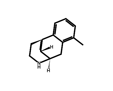 Cc1cccc2c1C[C@H]1NCC[C@@]23CCCC[C@@H]13